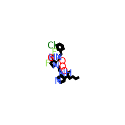 CCCC=C(C(C)=O)c1ccncc1NCC(=O)N1C[C@H](F)[C@@H](OC)[C@H]1C(=O)NCc1cccc(Cl)c1F